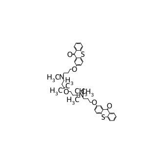 CN(CCCOc1ccc2sc3ccccc3c(=O)c2c1)CCC(C)(C)OCCC(C)(C)N(C)CCCOc1ccc2sc3ccccc3c(=O)c2c1